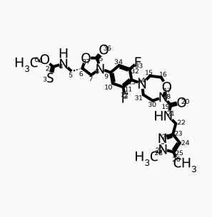 COC(=S)NC[C@H]1CN(c2cc(F)c(N3CCON(C(=O)NCc4cc(C)n(C)n4)CC3)c(F)c2)C(=O)O1